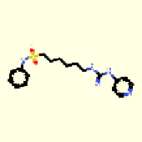 N=C(NCCCCCCS(=O)(=O)Nc1ccccc1)Nc1ccncc1